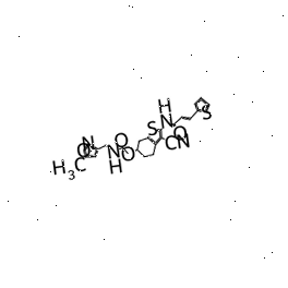 Cc1cc(CNC(=O)OC2CCc3c(sc(NC(=O)C=Cc4cccs4)c3C#N)C2)no1